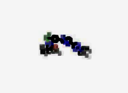 CN(C)c1ncc(-c2ccc3nc(-c4ccc(C(F)(F)F)c(NC(=O)C(C)(C)C)c4)cn3n2)cn1